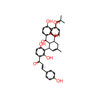 CC(C)=CCc1c(O)ccc(C(=O)C2C(c3c(O)ccc(C(=O)/C=C/c4ccc(O)cc4)c3O)C=C(C)CC2c2ccc(O)cc2)c1O